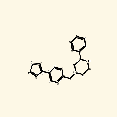 c1ccc(C2CN(Cc3ccc(-c4ccsc4)cc3)CCO2)cc1